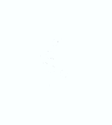 COC(=O)c1cc(-c2ccc(C)s2)cnc1Nc1nc(-c2ccc(OC(C)F)cc2)c(CC(C)C)s1